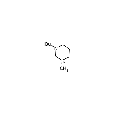 CCC(C)N1CCC[C@H](C)C1